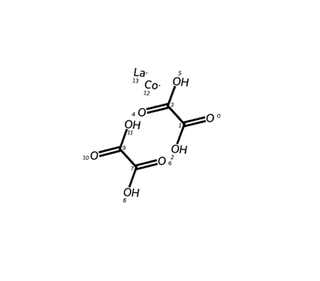 O=C(O)C(=O)O.O=C(O)C(=O)O.[Co].[La]